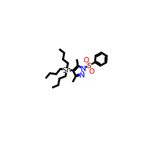 CCC[CH2][Sn]([CH2]CCC)([CH2]CCC)[c]1c(C)nn(S(=O)(=O)c2ccccc2)c1C